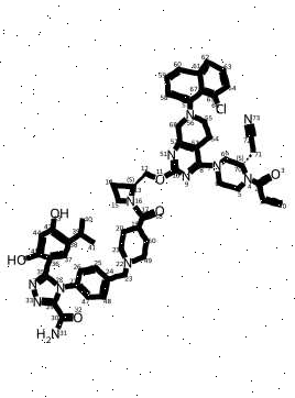 C=CC(=O)N1CCN(c2nc(OC[C@@H]3CCN3C(=O)C3CCN(Cc4ccc(-n5c(C(N)=O)nnc5-c5cc(C(C)C)c(O)cc5O)cc4)CC3)nc3c2CCN(c2cccc4cccc(Cl)c24)C3)C[C@@H]1CC#N